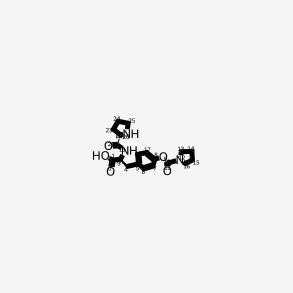 O=C(O)[C@H](Cc1ccc(OC(=O)N2CCCC2)cc1)NC(=O)[C@@H]1CCCN1